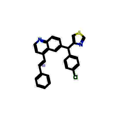 Clc1ccc(C(c2ccc3nccc(/C=C/c4ccccc4)c3c2)c2cscn2)cc1